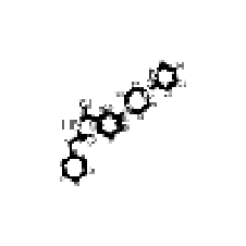 CC(NC(=O)CC1CCCCC1)c1cccc(N2CCN(c3ccccn3)CC2)c1